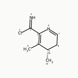 CC1=C(C(=N)Cl)N=CC[C@@H]1C